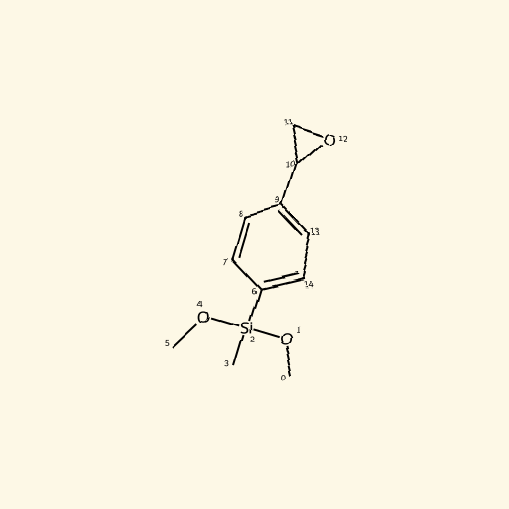 CO[Si](C)(OC)c1ccc(C2CO2)cc1